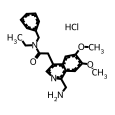 CCN(Cc1ccccc1)C(=O)Cc1cnc(CN)c2cc(OC)c(OC)cc12.Cl